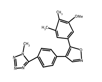 COc1cc(-c2oncc2-c2ccc(-c3nnnn3C)cc2)cc(C)c1C